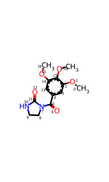 COc1cc(C(=O)N2CCNC2=O)cc(OC)c1OC